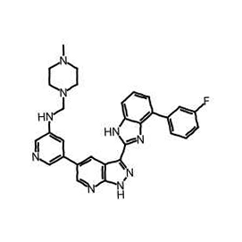 CN1CCN(CNc2cncc(-c3cnc4[nH]nc(-c5nc6c(-c7cccc(F)c7)cccc6[nH]5)c4c3)c2)CC1